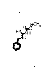 CCOC(=O)NC(S)NCc1ccccc1